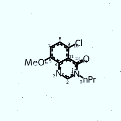 CCCn1cnc2c(OC)ccc(Cl)c2c1=O